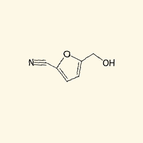 N#Cc1ccc(CO)o1